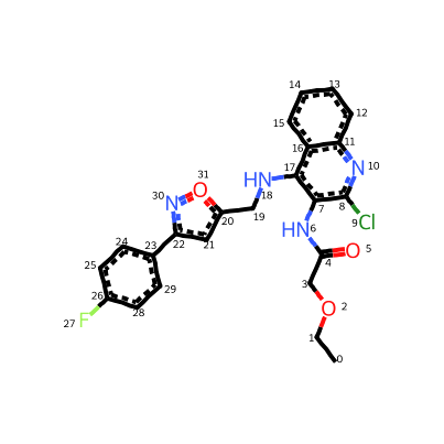 CCOCC(=O)Nc1c(Cl)nc2ccccc2c1NCc1cc(-c2ccc(F)cc2)no1